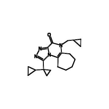 O=c1c2nnc(C3(C4CC4)CC3)n2c2c(n1CC1CC1)CCCCC2